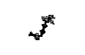 CC(C)(C)OC(=O)N1CC(C23CC(Cc4nnc(C5CC5)o4)(C2)C3)C1